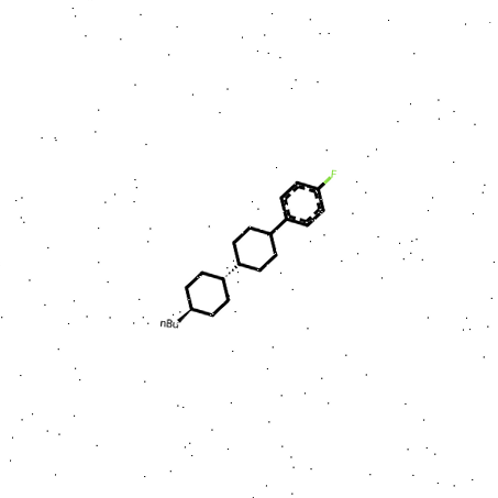 CCCC[C@H]1CC[C@H](C2CCC(c3ccc(F)cc3)CC2)CC1